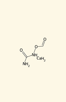 NC(=O)NOC=O.[CaH2]